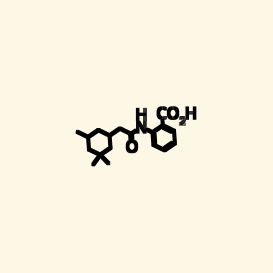 CC1CC(CC(=O)Nc2ccccc2C(=O)O)CC(C)(C)C1